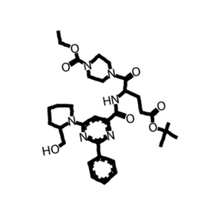 CCOC(=O)N1CCN(C(=O)C(CCC(=O)OC(C)(C)C)NC(=O)c2cc(N3CCCCC3CO)nc(-c3ccccc3)n2)CC1